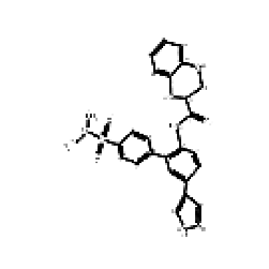 CN(C)S(=O)(=O)c1ccc(-c2cc(-c3cn[nH]c3)ccc2NC(=O)C2COc3ccccc3O2)cc1